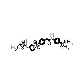 C=CS(=O)(=O)NC[C@H]1CCN(S(=O)(=O)c2ccc(CC(=O)Nc3ccc(N(C)C)cc3)cc2)C1